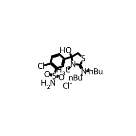 CCCC[N+](CCCC)=C1SCC(O)(c2ccc(Cl)c(S(N)(=O)=O)c2)N1C.[Cl-]